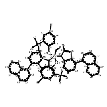 C[CH2][Zr]([O]c1ccc(C)cc1C(C)(C)C)([O]c1ccc(C)cc1C(C)(C)C)([CH]1C(C)=Cc2c(-c3cccc4ccccc34)cccc21)[CH]1C(C)=Cc2c(-c3cccc4ccccc34)cccc21